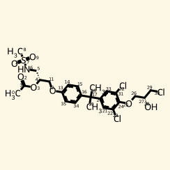 CC(=O)O[C@H](CNS(C)(=O)=O)COc1ccc(C(C)(C)c2cc(Cl)c(OC[C@@H](O)CCl)c(Cl)c2)cc1